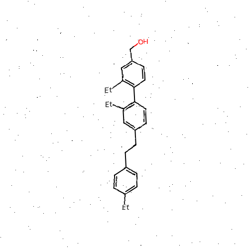 CCc1ccc(CCc2ccc(-c3ccc(CO)cc3CC)c(CC)c2)cc1